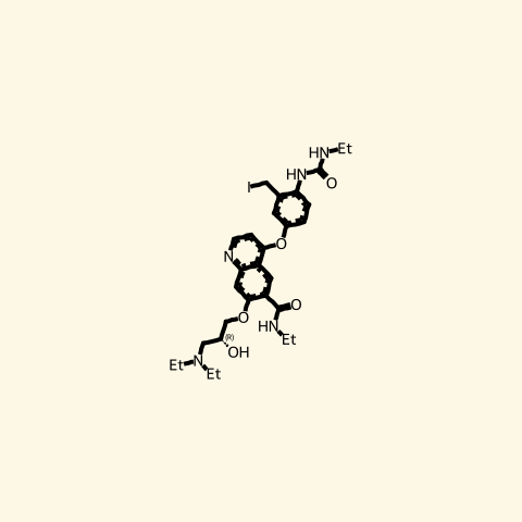 CCNC(=O)Nc1ccc(Oc2ccnc3cc(OC[C@H](O)CN(CC)CC)c(C(=O)NCC)cc23)cc1CI